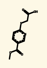 COC(=O)c1ccc(SCC(=O)O)nc1